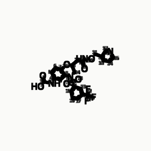 O=C(O)Nc1ccc2c(c1)N(S(=O)(=O)c1cccc(C(F)(F)F)c1)CC(CC(=O)NOCc1cccnc1)O2